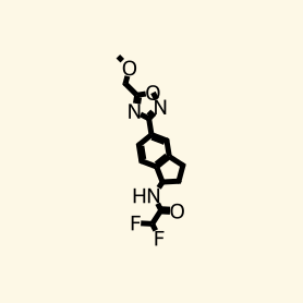 COCc1nc(-c2ccc3c(c2)CCC3NC(=O)C(F)F)no1